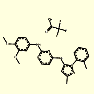 COc1ccc(Nc2nccc(Nc3cc(C)nn3-c3ccccc3C)n2)cc1OC.O=C(O)C(F)(F)F